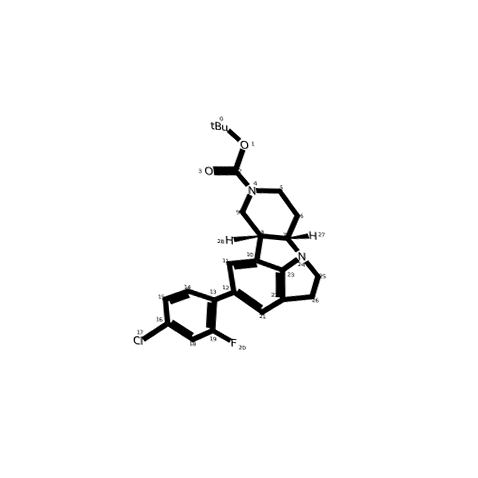 CC(C)(C)OC(=O)N1CC[C@H]2[C@@H](C1)c1cc(-c3ccc(Cl)cc3F)cc3c1N2CC3